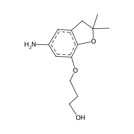 CC1(C)Cc2cc(N)cc(OCCCO)c2O1